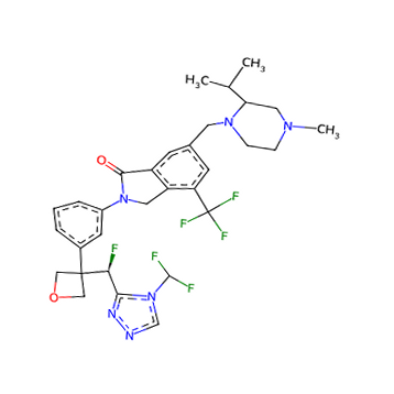 CC(C)C1CN(C)CCN1Cc1cc2c(c(C(F)(F)F)c1)CN(c1cccc(C3([C@@H](F)c4nncn4C(F)F)COC3)c1)C2=O